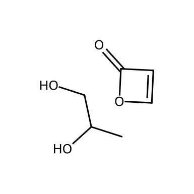 CC(O)CO.O=C1C=CO1